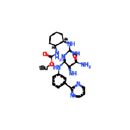 CC(C)(C)OC(=O)N[C@H]1CCCC[C@H]1NC(=N)/N=C(/Nc1cccc(-c2ncccn2)c1)C(=N)C(N)=O